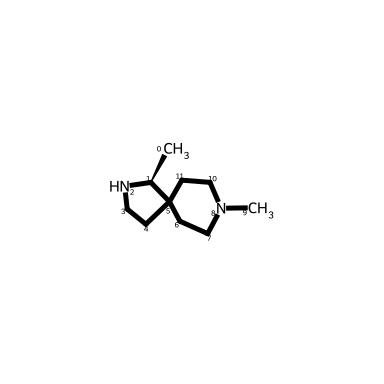 C[C@@H]1NCCC12CCN(C)CC2